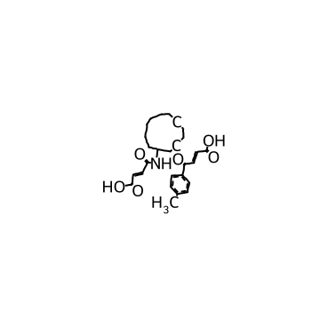 Cc1ccc(C(=O)C=CC(=O)O)cc1.O=C(O)C=CC(=O)NC1CCCCCCCCCCC1